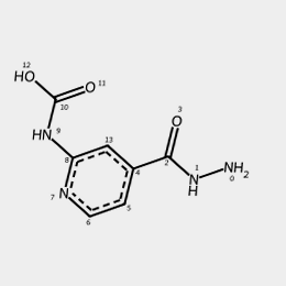 NNC(=O)c1ccnc(NC(=O)O)c1